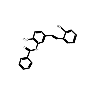 O=C(Nc1cc(C=Cc2ccccc2O)ccc1C(=O)O)c1ccccc1